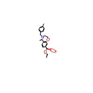 CCOC(=O)c1ccc2c(c1)OCCN(Cc1ccc(C)cc1)C2C